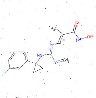 C=N/C(=N\C=C(/C)C(=O)NO)NC1(c2cccc(F)c2)CC1